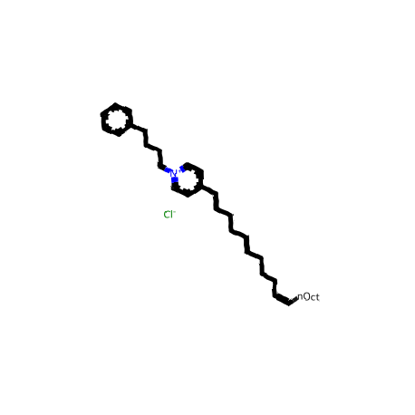 CCCCCCCC/C=C\CCCCCCCCCc1cc[n+](CCCCc2ccccc2)cc1.[Cl-]